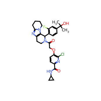 CC(C)(O)c1ccc(C2c3c(nc4n3CCCC4)CCN2C(=O)COc2ccc(C(=O)NC3CC3)nc2Cl)c(F)c1